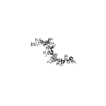 CCOC(=O)c1nc(NC(=O)[C@@H](CCNC(=O)c2cc(NC(=O)c3nc(NC(=O)c4cc(NC(=O)c5cccn5C)cn4C)cn3C)cn2C)N(C)C(=O)OC(C)(C)C)cn1C